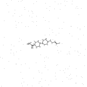 C/C=C/CCC1CCC(C2CCC(NCCC)CC2)CC1